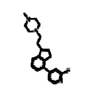 CN1CCN(CCC2=CCc3c2cccc3-c2ccnc(F)c2)CC1